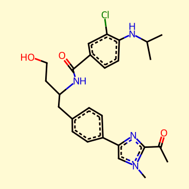 CC(=O)c1nc(-c2ccc(CC(CCO)NC(=O)c3ccc(NC(C)C)c(Cl)c3)cc2)cn1C